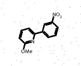 COc1cccc(-c2cccc([N+](=O)[O-])c2)n1